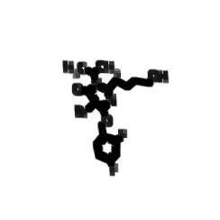 CC(C)n1c(CCCCO)nc(OCc2ccc(F)cc2F)c(Br)c1=O